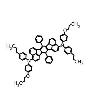 CCCOc1ccc(N(c2ccc(CCC)cc2)c2ccc3c4c(-c5ccccc5)c5c6ccc(N(c7ccc(CCC)cc7)c7ccc(OCCC)cc7)c7cccc(c5c(-c5ccccc5)c4c4cccc2c43)c76)cc1